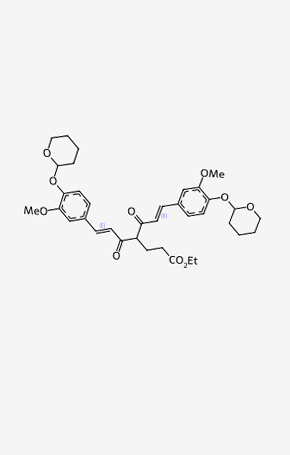 CCOC(=O)CCC(C(=O)/C=C/c1ccc(OC2CCCCO2)c(OC)c1)C(=O)/C=C/c1ccc(OC2CCCCO2)c(OC)c1